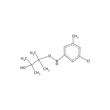 Cc1cc(Cl)cc(BOC(C)(C)C(C)(C)O)c1